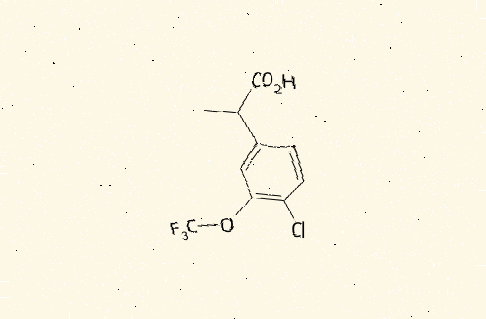 CC(C(=O)O)c1ccc(Cl)c(OC(F)(F)F)c1